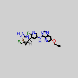 C#CCOc1cnc2c(Nc3cnc(F)c([C@@]4(C)N=C(N)S[C@@]5(CF)C[C@H]54)c3)ncnc2c1